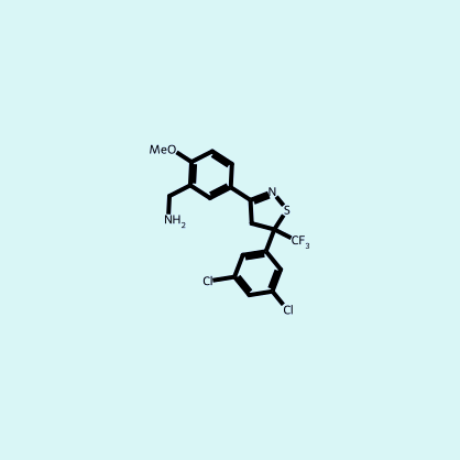 COc1ccc(C2=NSC(c3cc(Cl)cc(Cl)c3)(C(F)(F)F)C2)cc1CN